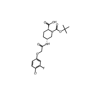 CC(C)(C)OC(=O)N1C[C@H](NC(=O)COc2ccc(Cl)c(F)c2)CC[C@H]1C(=O)O